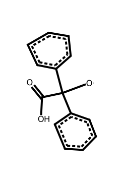 [O]C(C(=O)O)(c1ccccc1)c1ccccc1